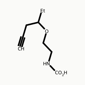 C#CCC(CC)OCCNC(=O)O